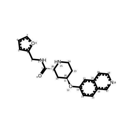 O=C(NCc1ccco1)[C@H]1C[C@H](Oc2ccc3cnccc3c2)CCN1